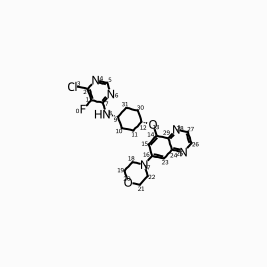 Fc1c(Cl)ncnc1N[C@H]1CC[C@@H](Oc2cc(N3CCOCC3)cc3nccnc23)CC1